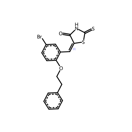 O=C1NC(=S)S/C1=C/c1cc(Br)ccc1OCCc1ccccc1